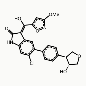 COc1cc(/C(O)=C2/C(=O)Nc3cc(Cl)c(-c4ccc([C@H]5COC[C@@H]5O)cc4)cc32)on1